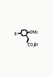 CCOC(=O)/C=C/c1cc(Br)ccc1OC